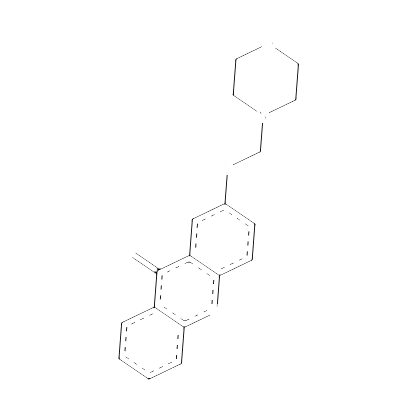 O=c1c2ccccc2oc2ccc(SCN3CCOCC3)cc12